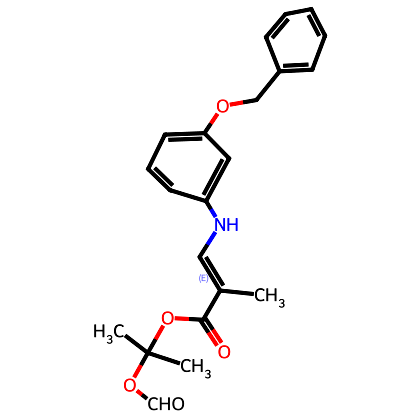 C/C(=C\Nc1cccc(OCc2ccccc2)c1)C(=O)OC(C)(C)OC=O